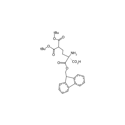 CC(C)(C)OC(=O)C(CC[C@](N)(C(=O)O)C(=O)OCC1c2ccccc2-c2ccccc21)C(=O)OC(C)(C)C